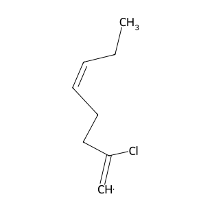 [CH]=C(Cl)CC/C=C\CC